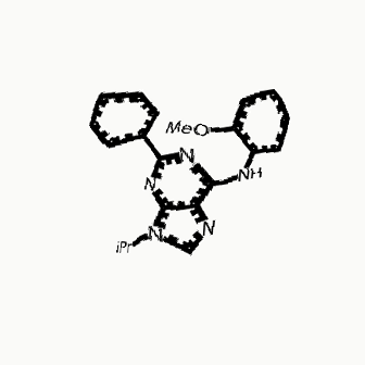 COc1ccccc1Nc1nc(-c2ccccc2)nc2c1ncn2C(C)C